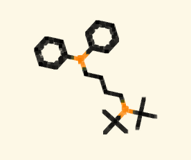 CC(C)(C)P(CCCCP(c1ccccc1)c1ccccc1)C(C)(C)C